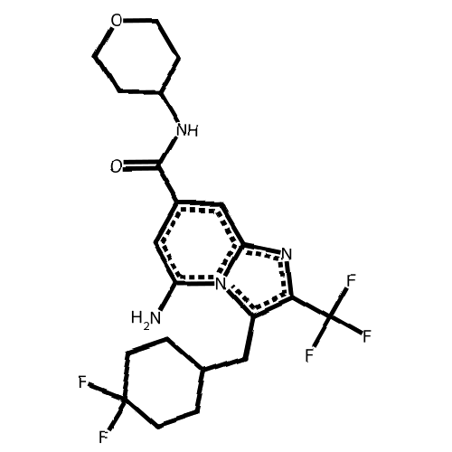 Nc1cc(C(=O)NC2CCOCC2)cc2nc(C(F)(F)F)c(CC3CCC(F)(F)CC3)n12